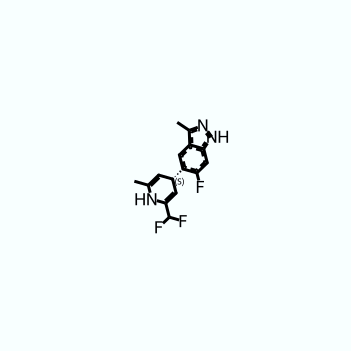 CC1=C[C@H](c2cc3c(C)n[nH]c3cc2F)C=C(C(F)F)N1